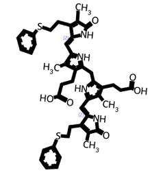 CC1=C(CCSc2ccccc2)/C(=C/c2[nH]c(Cc3[nH]c(/C=C4\NC(=O)C(C)=C4CCSc4ccccc4)c(C)c3CCC(=O)O)c(CCC(=O)O)c2C)NC1=O